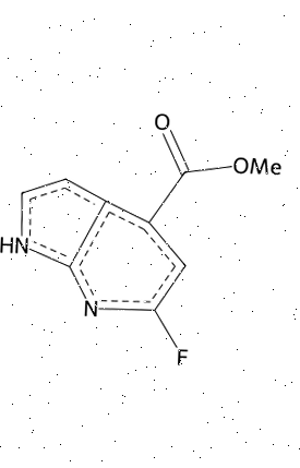 COC(=O)c1cc(F)nc2[nH]ccc12